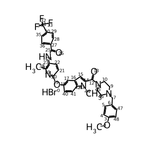 Br.COc1ccc(CN2CCN(C(=O)c3cc4cc(Oc5ccc(NC(=O)c6ccc(C(F)(F)F)cc6)c(C)n5)ccc4n3C)CC2)cc1